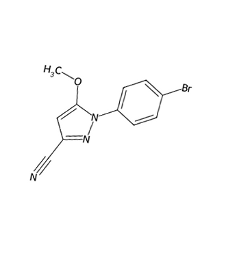 COc1cc(C#N)nn1-c1ccc(Br)cc1